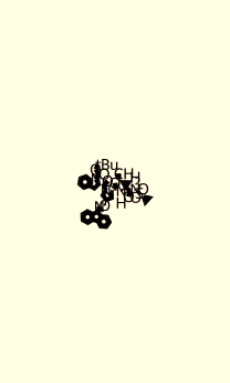 C=C[C@@H]1C[C@]1(NC(=O)[C@@H]1C[C@@H](ON=C2c3ccccc3-c3ccccc32)CN1C(=O)[C@@H]1Cc2ccccc2N1C(=O)OC(C)(C)C)C(=O)NS(=O)(=O)C1CC1